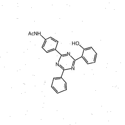 CC(=O)Nc1ccc(-c2nc(-c3ccccc3)nc(-c3ccccc3O)n2)cc1